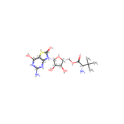 CC(C)(C)[C@H](N)C(=O)OC[C@H]1O[C@@H](n2c(=O)sc3c(O)nc(N)nc32)[C@H](O)[C@@H]1O